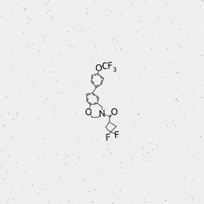 O=C(C1CC(F)(F)C1)N1CCOc2ccc(-c3ccc(OC(F)(F)F)cc3)cc2C1